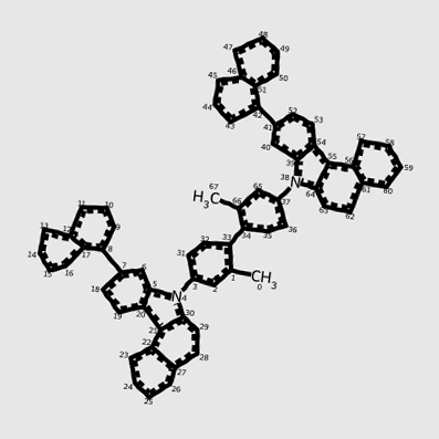 Cc1cc(-n2c3cc(-c4cccc5ccccc45)ccc3c3c4ccccc4ccc32)ccc1-c1ccc(-n2c3cc(-c4cccc5ccccc45)ccc3c3c4ccccc4ccc32)cc1C